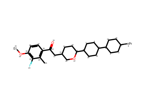 CCCC1CCC(C2CCC(C3CCC(CC(=O)c4ccc(OCC)c(F)c4C)CO3)CC2)CC1